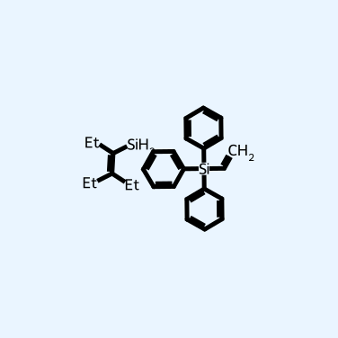 C=C[Si](c1ccccc1)(c1ccccc1)c1ccccc1.CCC([SiH3])=C(CC)CC